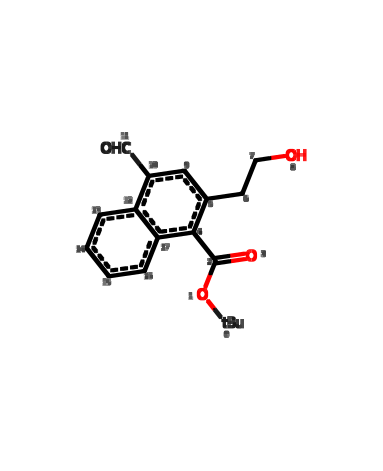 CC(C)(C)OC(=O)c1c(CCO)cc(C=O)c2ccccc12